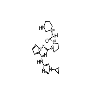 O=C(N[C@@H]1CCCNC1)[C@@H]1CCCN1c1nc(Nc2cn(C3CC3)cn2)c2cccn2n1